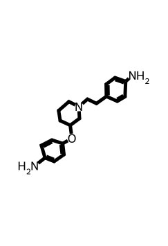 Nc1ccc(CCN2CCCC(Oc3ccc(N)cc3)C2)cc1